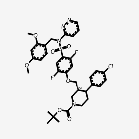 COc1ccc(CN(c2cccnn2)S(=O)(=O)c2cc(F)c(OC[C@@H]3CN(C(=O)OC(C)(C)C)CCC3c3ccc(Cl)cc3)cc2F)c(OC)c1